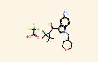 CC1(C)C(C(=O)c2cn(CC3CCOCC3)c3ccc(N)cc23)C1(C)C.O=C(O)C(F)(F)F